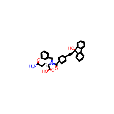 NC(=O)CC[C@@H](C(=O)O)N(Cc1ccccc1)C(=O)c1ccc(C#CC2(O)c3ccccc3-c3ccccc32)cc1